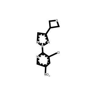 O=[N+]([O-])c1cnc(-n2ncc(C3COC3)n2)c(Cl)c1